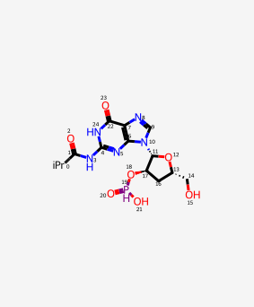 CC(C)C(=O)Nc1nc2c(ncn2[C@@H]2O[C@H](CO)C[C@H]2O[PH](=O)O)c(=O)[nH]1